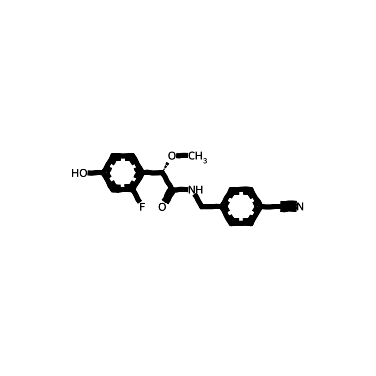 CO[C@H](C(=O)NCc1ccc(C#N)cc1)c1ccc(O)cc1F